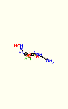 Cl.NCCCCCCCC(=O)Nc1nc2ccc(OS(=O)(=O)c3ccc(NCCNCCO)cc3)cc2s1